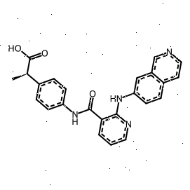 C[C@@H](C(=O)O)c1ccc(NC(=O)c2cccnc2Nc2ccc3ccncc3c2)cc1